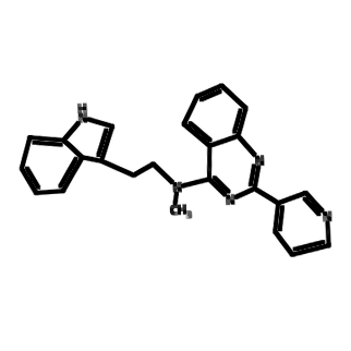 CN(CCc1c[nH]c2ccccc12)c1nc(-c2cccnc2)nc2ccccc12